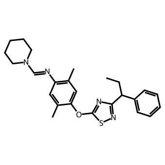 CCC(c1ccccc1)c1nsc(Oc2cc(C)c(N=CN3CCCCC3)cc2C)n1